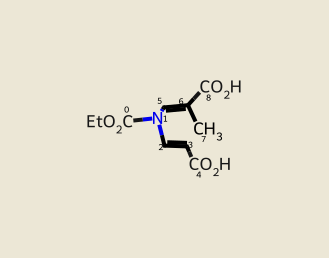 CCOC(=O)N(C=CC(=O)O)C=C(C)C(=O)O